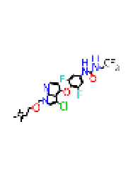 C[Si](C)(C)CCOCn1cc(Cl)c2c(Oc3c(F)cc(NC(=O)NCC(F)(F)F)cc3F)ccnc21